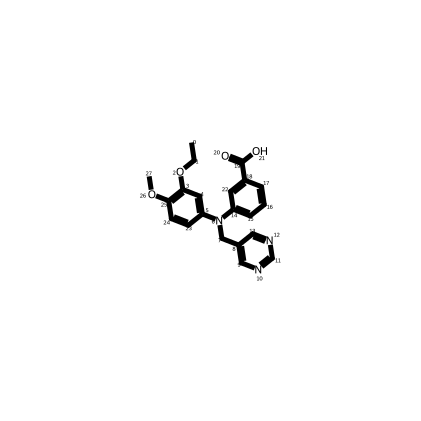 CCOc1cc(N(Cc2cncnc2)c2cccc(C(=O)O)c2)ccc1OC